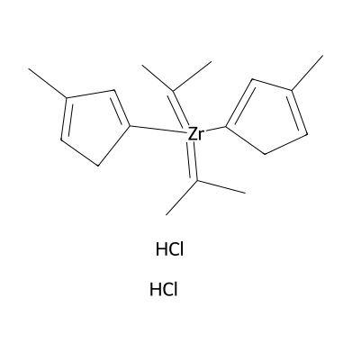 CC1=CC[C]([Zr]([C]2=CC(C)=CC2)(=[C](C)C)=[C](C)C)=C1.Cl.Cl